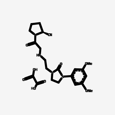 COc1cc(OC)cc(N2CCN(CCNCC(=O)N3CCC[C@H]3C#N)C2=O)c1.O=C(O)C(=O)O